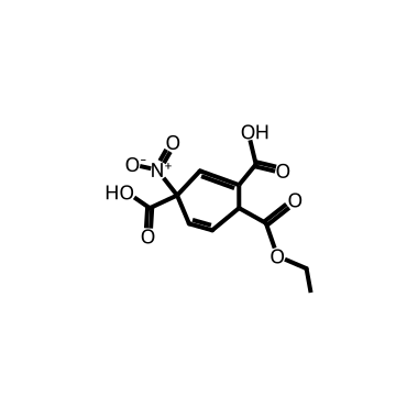 CCOC(=O)C1C=CC(C(=O)O)([N+](=O)[O-])C=C1C(=O)O